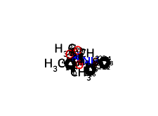 Cc1cc(C)cc(N(C(C)C(=O)Nc2ccccc2Sc2ccccc2)S(C)(=O)=O)c1